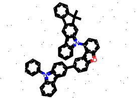 CC1(C)c2ccccc2-c2cc3c4ccccc4n(-c4cccc5oc6ccc(-c7ccc8c(c7)c7ccccc7n8-c7ccccc7)cc6c45)c3cc21